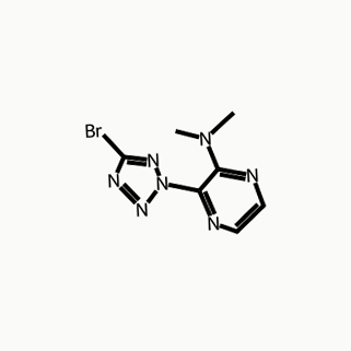 CN(C)c1nccnc1-n1nnc(Br)n1